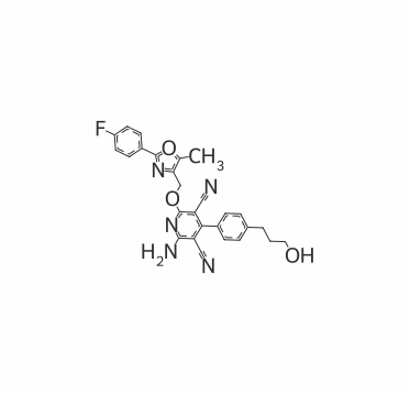 Cc1oc(-c2ccc(F)cc2)nc1COc1nc(N)c(C#N)c(-c2ccc(CCCO)cc2)c1C#N